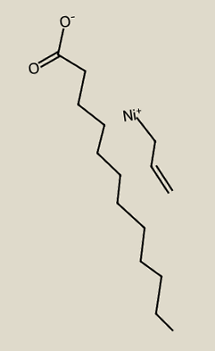 C=C[CH2][Ni+].CCCCCCCCCCCC(=O)[O-]